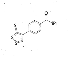 CC(C)C(=O)c1ccc(-c2cssc2=S)cc1